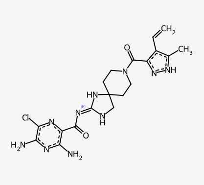 C=Cc1c(C(=O)N2CCC3(CC2)CN/C(=N\C(=O)c2nc(Cl)c(N)nc2N)N3)n[nH]c1C